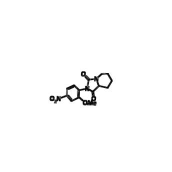 COc1cc([N+](=O)[O-])ccc1N1C(=O)C2CCCCN2C1=O